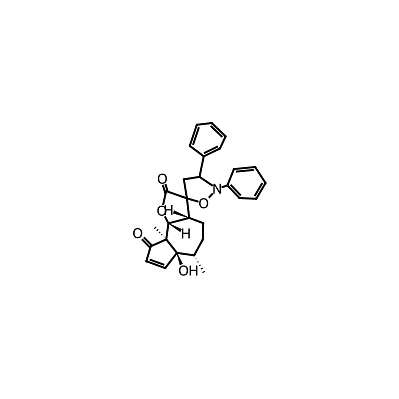 C[C@H]1CC[C@@H]2[C@@H](OC(=O)C23CC(c2ccccc2)N(c2ccccc2)O3)[C@]2(C)C(=O)C=C[C@@]12O